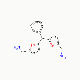 NCc1ccc(C(c2ccccc2)c2ccc(CN)o2)o1